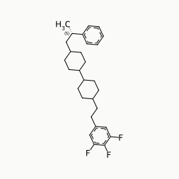 C[C@@H](CC1CCC(C2CCC(CCc3cc(F)c(F)c(F)c3)CC2)CC1)c1ccccc1